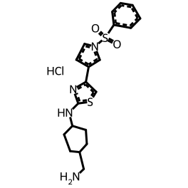 Cl.NCC1CCC(Nc2nc(-c3ccn(S(=O)(=O)c4ccccc4)c3)cs2)CC1